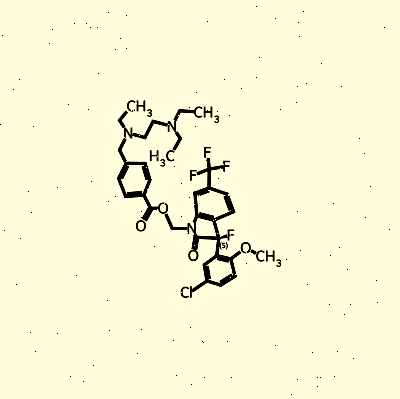 CCN(CC)CCN(CC)Cc1ccc(C(=O)OCN2C(=O)[C@@](F)(c3cc(Cl)ccc3OC)c3ccc(C(F)(F)F)cc32)cc1